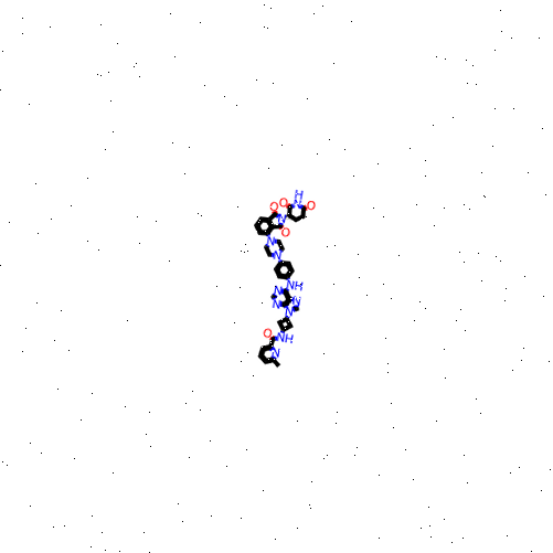 Cc1cccc(C(=O)NC2CC(n3cnc4c(Nc5ccc(N6CCN(c7cccc8c7C(=O)N([C@H]7CCC(=O)NC7=O)C8=O)CC6)cc5)ncnc43)C2)n1